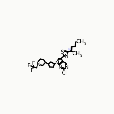 CCC/C=C(\C)c1csc(-c2cn(C3CCC(C4CCCN(CC(F)(F)F)C4)C3)c3nc(Cl)ncc23)n1